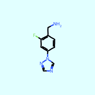 NCc1ccc(-n2cncn2)cc1F